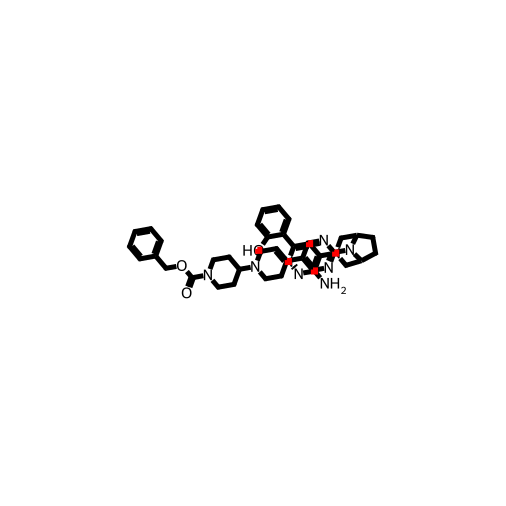 Nc1nnc(-c2ccccc2O)cc1N1CC2CCC(C1)N2c1ncc(C2=CCN(C3CCN(C(=O)OCc4ccccc4)CC3)CC2)cn1